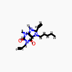 C#CCn1c(=O)c2c(n(C)c1=O)N(C)C(C#C)N2CCCCC